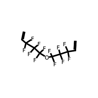 C=CC(F)(F)C(F)(F)C(F)(F)OC(F)(F)C(F)(F)C(F)(F)C=C